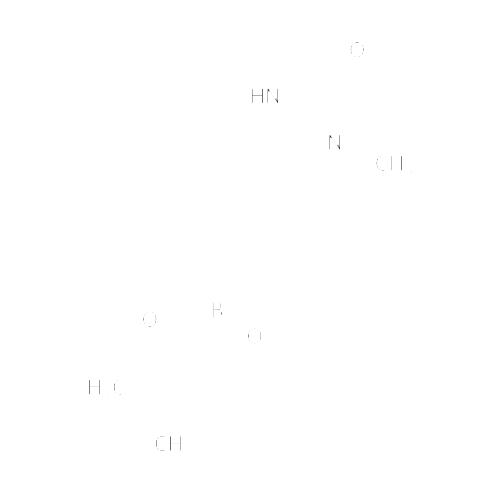 Cn1c2c([nH]c1=O)CCC(B1OCC(C)(C)O1)=C2